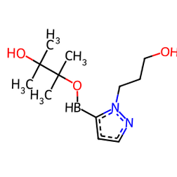 CC(C)(O)C(C)(C)OBc1ccnn1CCCO